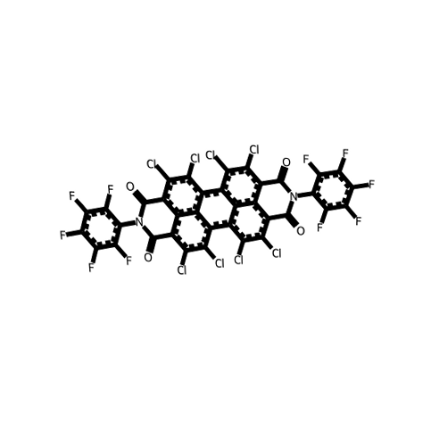 O=C1c2c(Cl)c(Cl)c3c4c(Cl)c(Cl)c5c6c(c(Cl)c(Cl)c(c7c(Cl)c(Cl)c(c2c37)C(=O)N1c1c(F)c(F)c(F)c(F)c1F)c64)C(=O)N(c1c(F)c(F)c(F)c(F)c1F)C5=O